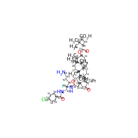 CC(C)C1=C2[C@H]3CC[C@@H]4[C@@]5(C)CC[C@H](OC(=O)[C@H]6C[C@@H](C(=O)O)C6(C)C)C(C)(C)[C@@H]5CC[C@@]4(C)[C@]3(C)CC[C@@]2(CC(=O)NC(F)(CCCN)CNC(=O)c2ccc(Cl)cc2)CC1=O